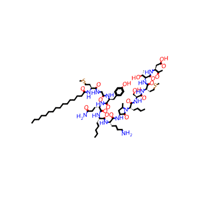 CCCCCCCCCCCCCCCC(=O)N[C@@H](CCSC)C(=O)NCC(=O)N[C@@H](Cc1ccc(O)cc1)C(=O)N[C@@H](CCC(N)=O)C(=O)N[C@@H](CCCCC)C(=O)N[C@@H](CCCCN)C(=O)N[C@H]1CC(C)N([C@@H](CCCC)C(=O)N[C@@H](CO)C(=O)N[C@@H](CCSC)C(=O)N[C@H](C(=O)N[C@@H](CC(=O)O)C(C)=O)[C@@H](C)O)C1=O